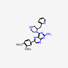 COc1ccc(-c2cnc3nc(N)nc(N4CCNCC4Cc4ccccn4)c3n2)cc1OC